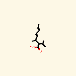 C=C(C)C(C(=O)O)C(C)CCC=CC